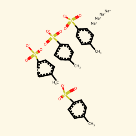 Cc1ccc(S(=O)(=O)[O-])cc1.Cc1ccc(S(=O)(=O)[O-])cc1.Cc1ccc(S(=O)(=O)[O-])cc1.Cc1ccc(S(=O)(=O)[O-])cc1.[Na+].[Na+].[Na+].[Na+]